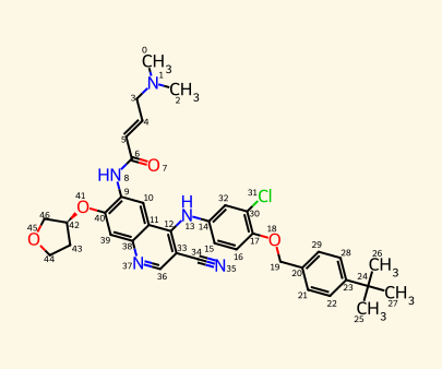 CN(C)C/C=C/C(=O)Nc1cc2c(Nc3ccc(OCc4ccc(C(C)(C)C)cc4)c(Cl)c3)c(C#N)cnc2cc1O[C@H]1CCOC1